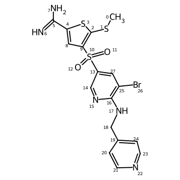 CSc1sc(C(=N)N)cc1S(=O)(=O)c1cnc(NCc2ccncc2)c(Br)c1